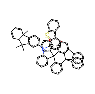 CC1(C)c2cc(N(c3ccccc3C3(c4ccccc4)c4ccccc4C4(c5ccccc5)c5ccccc5-c5cccc3c54)c3cccc4c3sc3ccccc34)ccc2C2(C)C=CC=CC12